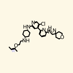 C/C=C(/C)OCCN[C@H]1CC[C@H](Nc2cc(-c3cccc(NCC4(N)CCOCC4)n3)c(Cl)cn2)CC1